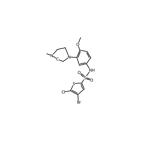 COc1ccc(NS(=O)(=O)c2cc(Br)c(Cl)s2)cc1N1CCN(C)CC1